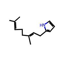 CC(C)=CCC/C(C)=C/Cc1ccc[nH]1